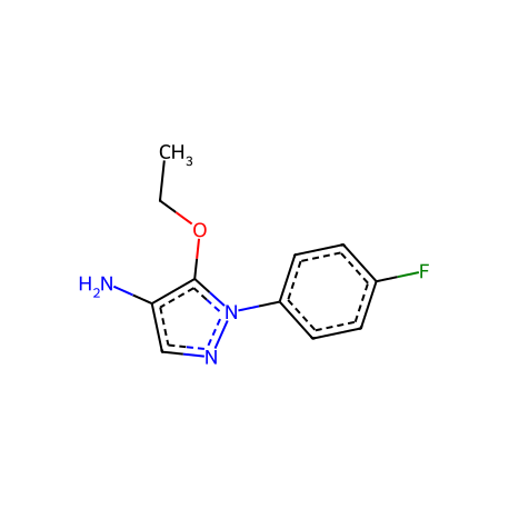 CCOc1c(N)cnn1-c1ccc(F)cc1